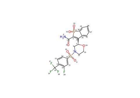 NC(=O)C1=C([C@@H]2CN(S(=O)(=O)c3ccc(C(F)(F)F)c(F)c3)CCO2)c2ccccc2S1(=O)=O